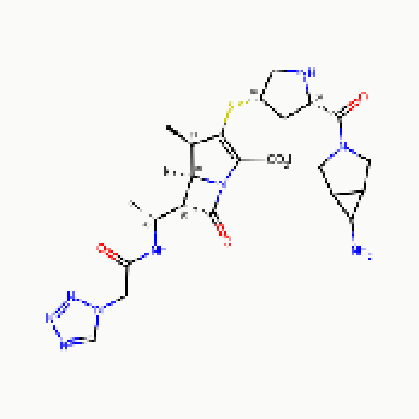 C[C@@H](NC(=O)Cn1cnnn1)[C@H]1C(=O)N2C(C(=O)O)=C(S[C@@H]3CN[C@H](C(=O)N4CC5C(N)C5C4)C3)[C@H](C)[C@H]12